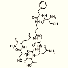 CC(=O)N(CC(CC(N)=O)NN[C@H](C=O)CO)C(C(=O)N[C@@H](CO)C(=O)NC(CCC(=O)NCCCCNC(=O)C(Cc1ccccc1)NC(=O)C(N)CO)C(N)=O)C(C)O